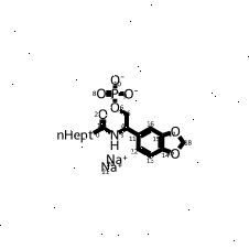 CCCCCCCC(=O)NC(COP(=O)([O-])[O-])c1ccc2c(c1)OCO2.[Na+].[Na+]